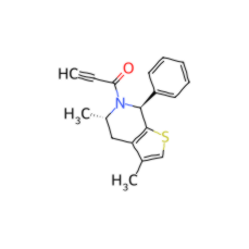 C#CC(=O)N1[C@@H](c2ccccc2)c2scc(C)c2C[C@@H]1C